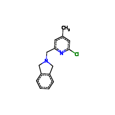 Cc1cc(Cl)nc(CN2Cc3ccccc3C2)c1